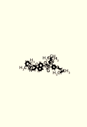 CCN(C)CCOc1cccc(-n2nc(C(C)(C)C)cc2N(OC=O)C(=O)N[C@H]2CC[C@@H](Oc3ccc4nnc(N5[C@H](C)CCC[C@@H]5C)n4c3)c3ccccc32)c1